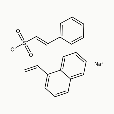 C=Cc1cccc2ccccc12.O=S(=O)([O-])C=Cc1ccccc1.[Na+]